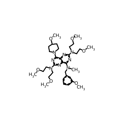 COCCN(CCOC)c1nc(N2CCC(OC)CC2)c2nc(N(CCOC)CCOC)nc(N(C)Cc3cccc(OC)c3)c2n1